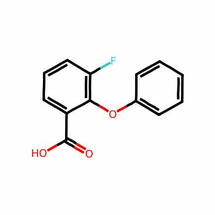 O=C(O)c1cccc(F)c1Oc1ccccc1